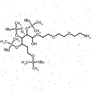 CC(C)(C)[Si](C)(C)OCCC(O[Si](C)(C)C(C)(C)C)C(O[Si](C)(C)C(C)(C)C)C(O[Si](C)(C)C(C)(C)C)C(O)OCCOCCOCCN